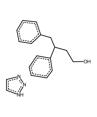 OCCC(Cc1ccccc1)c1ccccc1.c1c[nH]nn1